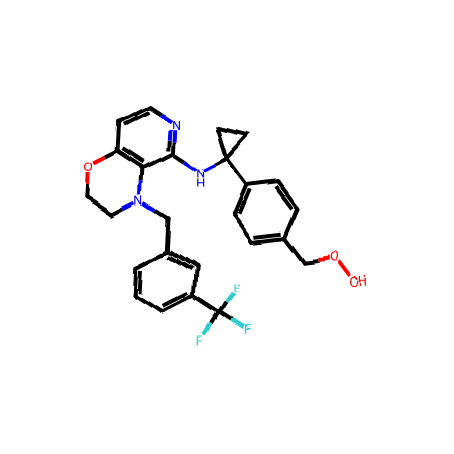 OOCc1ccc(C2(Nc3nccc4c3N(Cc3cccc(C(F)(F)F)c3)CCO4)CC2)cc1